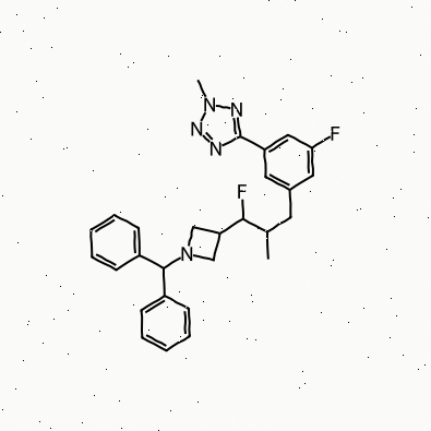 CC(Cc1cc(F)cc(-c2nnn(C)n2)c1)C(F)C1CN(C(c2ccccc2)c2ccccc2)C1